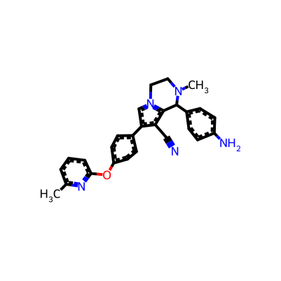 Cc1cccc(Oc2ccc(-c3cn4c(c3C#N)C(c3ccc(N)cc3)N(C)CC4)cc2)n1